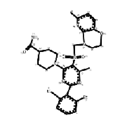 CCc1cccc(CC)c1-c1nc(C)c(S(=O)(=O)CN2CCOc3ccc(C)nc32)c(N2CCC(C(N)=O)CC2)n1